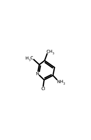 Cc1cc(N)c(Cl)nc1C